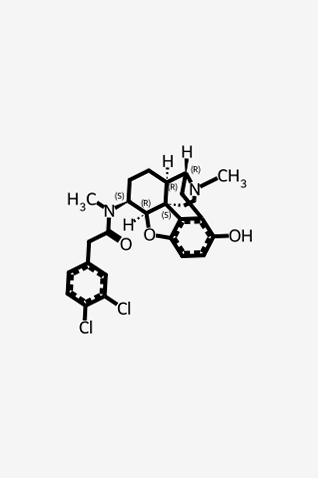 CN1CC[C@@]23c4c5ccc(O)c4C[C@@H]1[C@@H]2CC[C@H](N(C)C(=O)Cc1ccc(Cl)c(Cl)c1)[C@@H]3O5